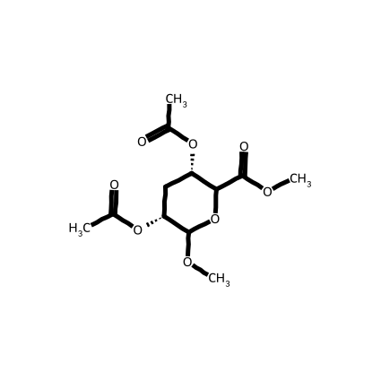 COC(=O)C1OC(OC)[C@H](OC(C)=O)C[C@@H]1OC(C)=O